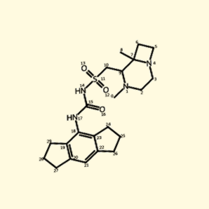 CN1CCN2CCC2(C)C1CS(=O)(=O)NC(=O)Nc1c2c(cc3c1CCC3)CCC2